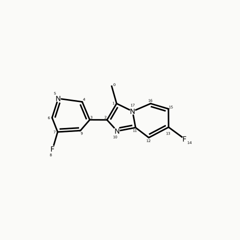 Cc1c(-c2cncc(F)c2)nc2cc(F)ccn12